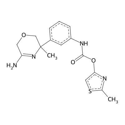 Cc1nc(OC(=O)Nc2cccc(C3(C)COCC(N)=N3)c2)cs1